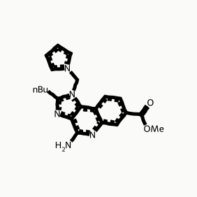 CCCCc1nc2c(N)nc3cc(C(=O)OC)ccc3c2n1Cn1cccc1